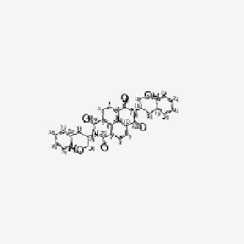 O=C1c2ccc3c4c(ccc(c24)C(=O)N1C(CO)Cc1ccccc1)C(=O)N(C(CO)Cc1ccccc1)C3=O